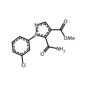 COC(=O)c1cnn(-c2cccc(Cl)c2)c1C(N)=O